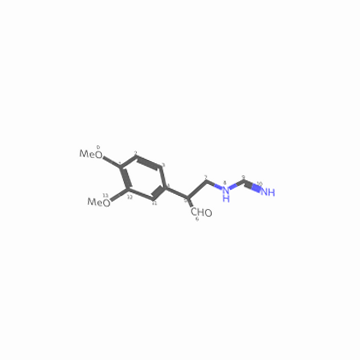 COc1ccc(C(C=O)CNC=N)cc1OC